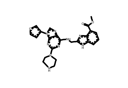 COC(=O)c1cccc2[nH]c(CNc3nc(N4CCNCC4)nc4c3ncn4-c3ccoc3)nc12